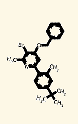 Cc1cc(C(C)(C)C)ccc1-c1cc(OCc2ccccc2)c(Br)c(C)n1